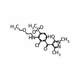 CCOCCNc1c(S(C)(=O)=O)ccc(C(=O)c2c(C)nn(C)c2O)c1Cl